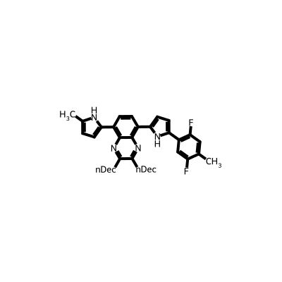 CCCCCCCCCCc1nc2c(-c3ccc(C)[nH]3)ccc(-c3ccc(-c4cc(F)c(C)cc4F)[nH]3)c2nc1CCCCCCCCCC